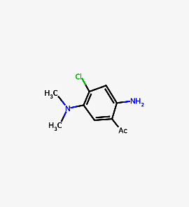 CC(=O)c1cc(N(C)C)c(Cl)cc1N